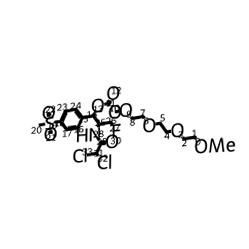 COCCOCCOCCOOC(=O)OC(c1ccc(S(C)(=O)=O)cc1)C(CF)NC(=O)C(Cl)Cl